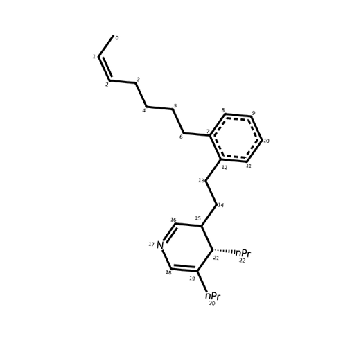 C/C=C\CCCCc1ccccc1CCC1C=NC=C(CCC)[C@H]1CCC